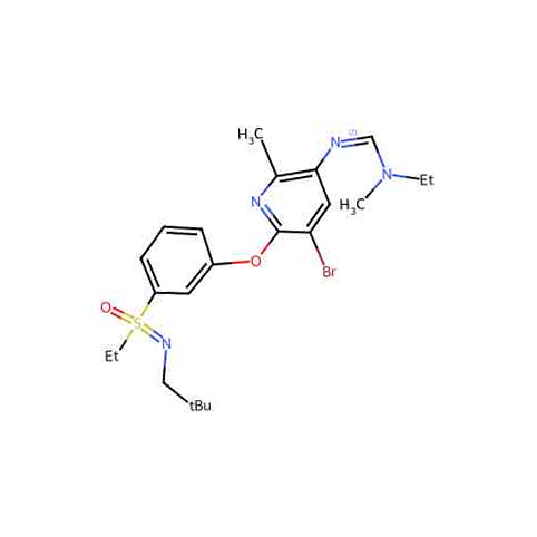 CCN(C)/C=N\c1cc(Br)c(Oc2cccc(S(=O)(CC)=NCC(C)(C)C)c2)nc1C